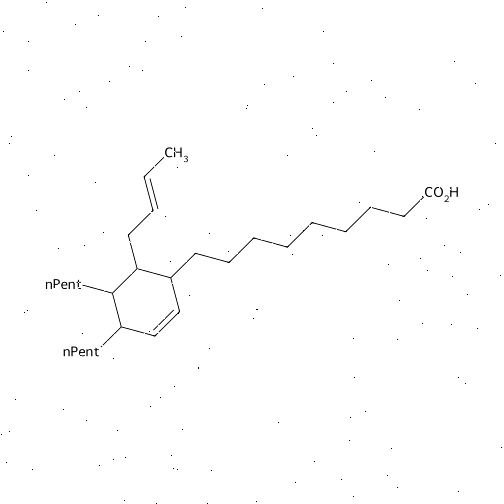 CC=CCC1C(CCCCCCCCC(=O)O)C=CC(CCCCC)C1CCCCC